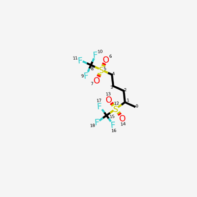 CC(CCCS(=O)(=O)C(F)(F)F)S(=O)(=O)C(F)(F)F